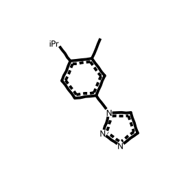 Cc1cc(-n2ccnn2)ccc1C(C)C